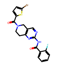 O=C(Nc1ncc2c(n1)CCN(C(=O)c1ccc(Br)s1)C2)c1ccccc1F